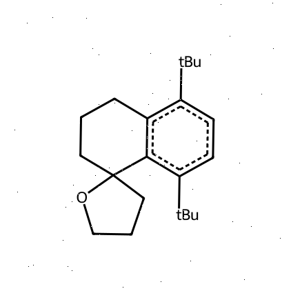 CC(C)(C)c1ccc(C(C)(C)C)c2c1CCCC21CCCO1